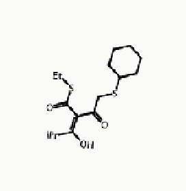 CCSC(=O)/C(C(=O)CSC1CCCCC1)=C(/O)C(C)C